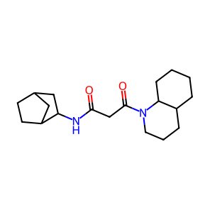 O=C(CC(=O)N1CCCC2CCCCC21)NC1CC2CCC1C2